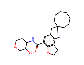 CC1(Cc2cc(C(=O)NC3CCOCC3O)c3c(c2I)CCO3)CCCCCCC1